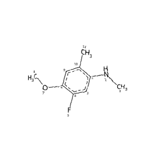 CNc1cc(F)c(OC)cc1C